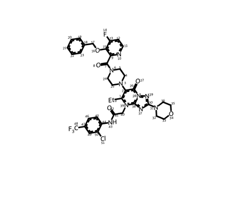 CCc1c(N2CCN(C(=O)c3nccc(F)c3OCc3ccccc3)CC2)c(=O)n2nc(N3CCOCC3)nc2n1CC(=O)Nc1ccc(C(F)(F)F)cc1Cl